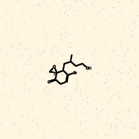 CC(CCO)CC1C(Br)=CCC(=O)[C@@]12CO2